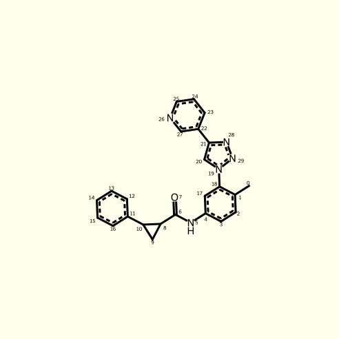 Cc1ccc(NC(=O)C2CC2c2ccccc2)cc1-n1cc(-c2cccnc2)nn1